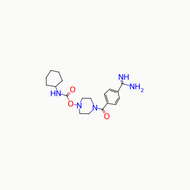 N=C(N)c1ccc(C(=O)N2CCN(OC(=O)NC3CCCCC3)CC2)cc1